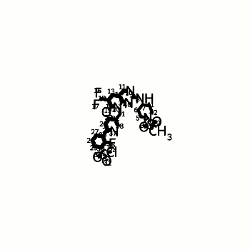 CS(=O)(=O)N1CCC(Nc2ncc3cc(C(F)F)c(=O)n(Cc4ccc(-c5cccc(S(=O)(=O)Cl)c5F)nc4)c3n2)CC1